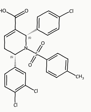 Cc1ccc(S(=O)(=O)N2[C@@H](c3ccc(Cl)cc3)C(C(=O)O)=CC[C@H]2c2ccc(Cl)c(Cl)c2)cc1